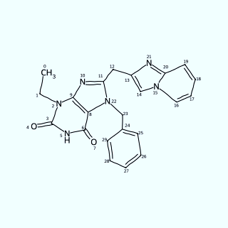 CCn1c(=O)[nH]c(=O)c2c1nc(Cc1cn3ccccc3n1)n2Cc1ccccc1